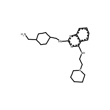 NCC1CCC(CNc2nc(NCCN3CCCCC3)c3ccccc3n2)CC1